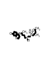 C=C(C)CC(C)(C)COCCN(CC)CCCC(C)Nc1ccnc2cc(Cl)ccc12